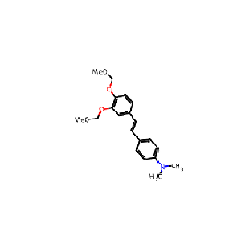 COCOc1ccc(C=Cc2ccc(N(C)C)cc2)cc1OCOC